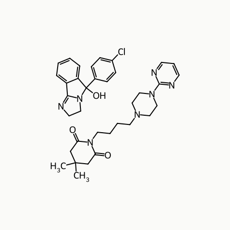 CC1(C)CC(=O)N(CCCCN2CCN(c3ncccn3)CC2)C(=O)C1.OC1(c2ccc(Cl)cc2)c2ccccc2C2=NCCN21